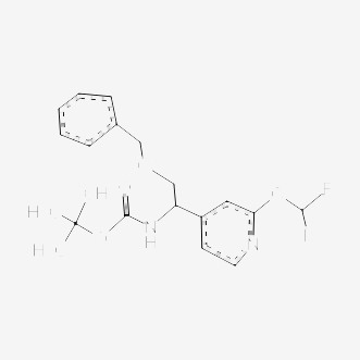 CC(C)(C)OC(=O)NC(COCc1ccccc1)c1ccnc(OC(F)F)c1